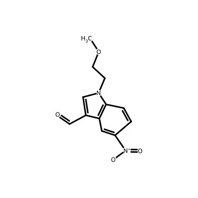 COCCn1cc(C=O)c2cc([N+](=O)[O-])ccc21